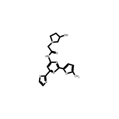 Cc1ccc(-c2nc(NC(=O)CN3CCC(O)C3)cc(-c3nccs3)n2)o1